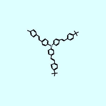 Cc1ccc(/C=C/c2ccc(N(c3ccc(/C=C/c4ccc(C(C)(C)C)cc4)cc3)c3ccc(/C=C/c4ccc(C(C)(C)C)cc4)cc3)cc2)cc1